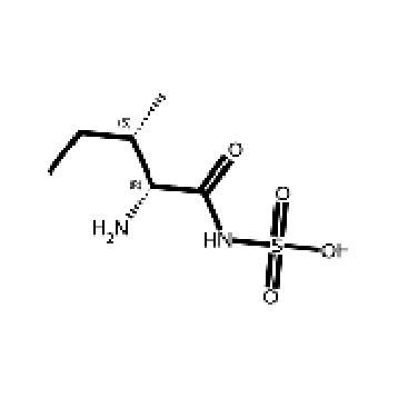 CC[C@H](C)[C@@H](N)C(=O)NS(=O)(=O)O